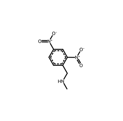 CNCc1ccc([N+](=O)[O-])cc1[N+](=O)[O-]